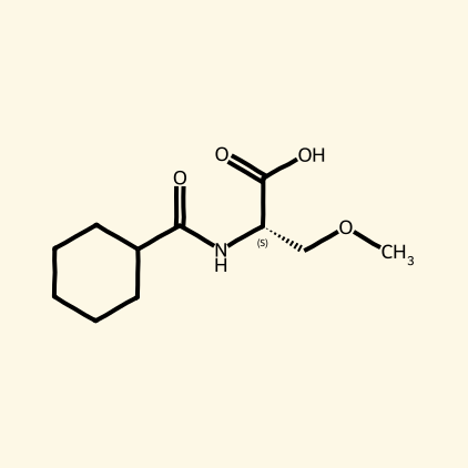 COC[C@H](NC(=O)C1CCCCC1)C(=O)O